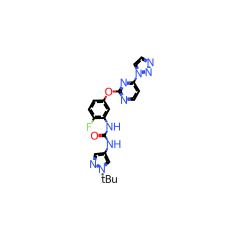 CC(C)(C)n1cc(NC(=O)Nc2cc(Oc3nccc(-n4ccnn4)n3)ccc2F)cn1